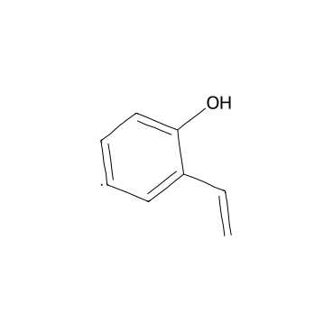 C=Cc1c[c]ccc1O